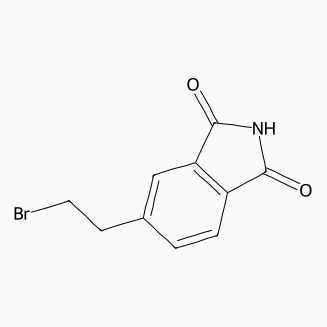 O=C1NC(=O)c2cc(CCBr)ccc21